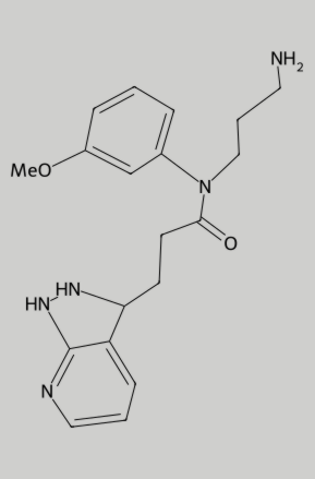 COc1cccc(N(CCCN)C(=O)CCC2NNc3ncccc32)c1